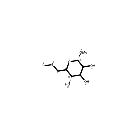 CCSCC1O[C@H](OC)C(O)C(O)[C@@H]1O